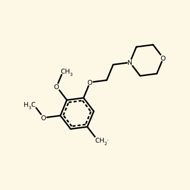 [CH2]c1cc(OC)c(OC)c(OCCN2CCOCC2)c1